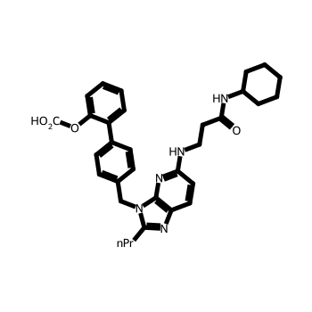 CCCc1nc2ccc(NCCC(=O)NC3CCCCC3)nc2n1Cc1ccc(-c2ccccc2OC(=O)O)cc1